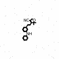 CC1(C)OCC(C#N)=C1C=Cc1cccc(Nc2ccccc2)c1